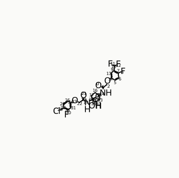 O=C(COc1ccc(F)c(C(F)F)c1)NC12CCC(NC(=O)COc3ccc(Cl)c(F)c3)(CC1)[C@@H](O)C2